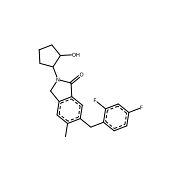 Cc1cc2c(cc1Cc1ccc(F)cc1F)C(=O)N(C1CCCC1O)C2